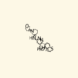 Cc1cc(N[C@@H]2CCCN([C@H]3CCOC3)C2)nnc1-c1ccc2sccc2c1O